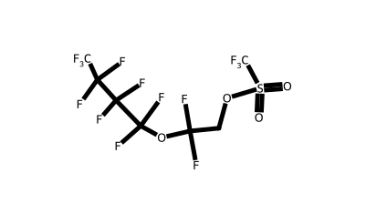 O=S(=O)(OCC(F)(F)OC(F)(F)C(F)(F)C(F)(F)C(F)(F)F)C(F)(F)F